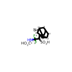 O=C(O)NC(F)(F)C(C12CC3CC(CC(C3)C1)C2)S(=O)(=O)O.[NaH]